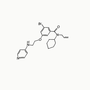 C=CCN(C(=O)c1cc(Br)cc(OCCNc2ccncc2)c1)C1CCCCC1